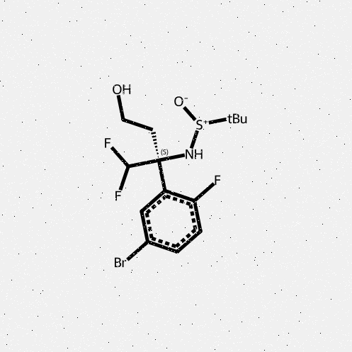 CC(C)(C)[S+]([O-])N[C@@](CCO)(c1cc(Br)ccc1F)C(F)F